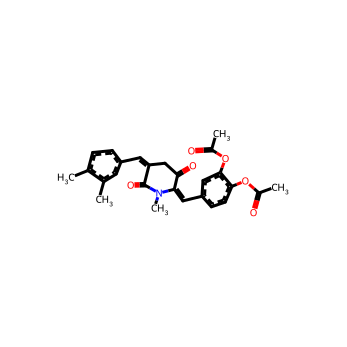 CC(=O)Oc1ccc(/C=C2\C(=O)C/C(=C/c3ccc(C)c(C)c3)C(=O)N2C)cc1OC(C)=O